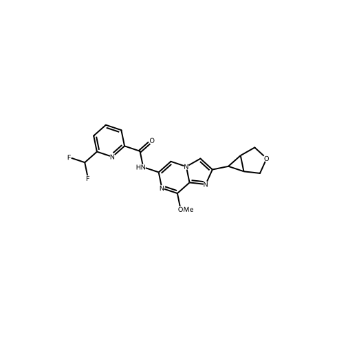 COc1nc(NC(=O)c2cccc(C(F)F)n2)cn2cc(C3C4COCC43)nc12